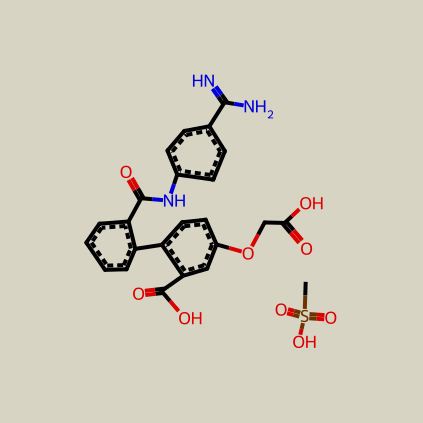 CS(=O)(=O)O.N=C(N)c1ccc(NC(=O)c2ccccc2-c2ccc(OCC(=O)O)cc2C(=O)O)cc1